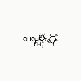 C=C(C=O)c1cc(-c2ccccc2)cs1